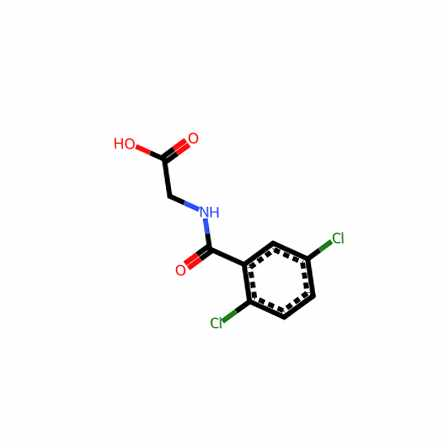 O=C(O)CNC(=O)c1cc(Cl)ccc1Cl